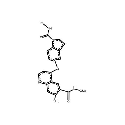 CCNC(=O)n1ccc2cc(Oc3ccnc4cc(C)c(C(=O)NOC)cc34)ccc21